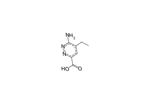 CCc1cc(C(=O)O)nnc1N